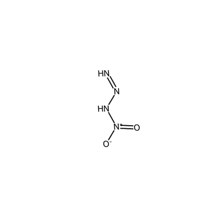 N=NN[N+](=O)[O-]